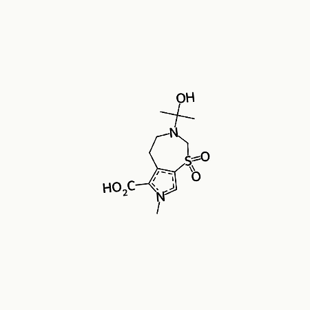 Cn1cc2c(c1C(=O)O)CCN(C(C)(C)O)CS2(=O)=O